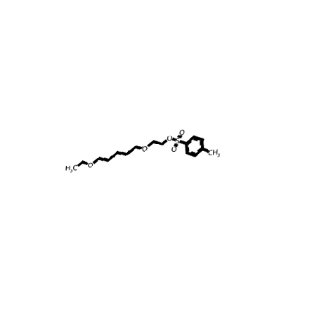 CCOCCCCCOCCOS(=O)(=O)c1ccc(C)cc1